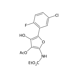 CCOC(=O)Nc1oc(-c2cc(Cl)ccc2F)c(O)c1OC(C)=O